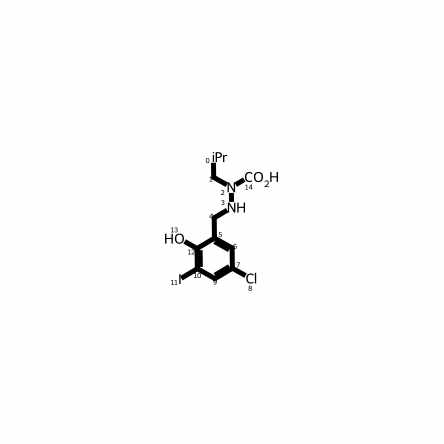 CC(C)CN(NCc1cc(Cl)cc(I)c1O)C(=O)O